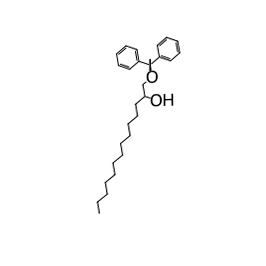 CCCCCCCCCCCCC(O)COI(c1ccccc1)c1ccccc1